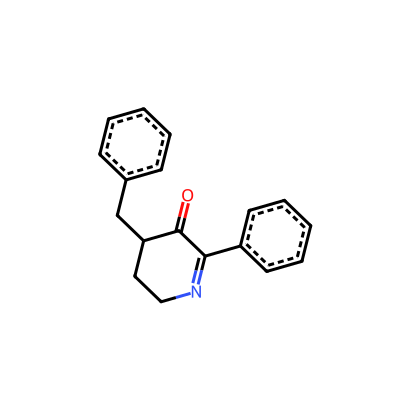 O=C1C(c2ccccc2)=NCCC1Cc1ccccc1